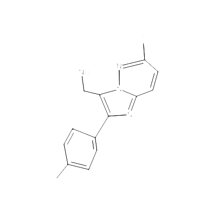 Cc1ccc(-c2nc3ccc(Cl)nn3c2CN)cc1